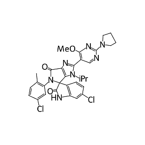 COc1nc(N2CCCC2)ncc1-c1nc2c(n1C(C)C)C1(C(=O)Nc3cc(Cl)ccc31)N(c1cc(Cl)ccc1C)C2=O